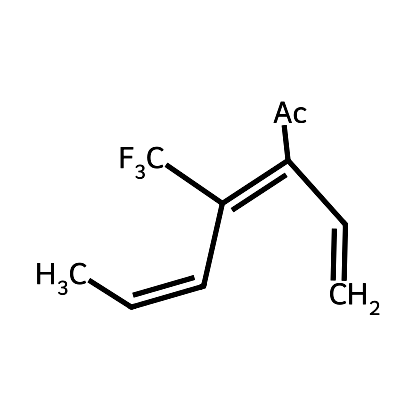 C=C/C(C(C)=O)=C(\C=C/C)C(F)(F)F